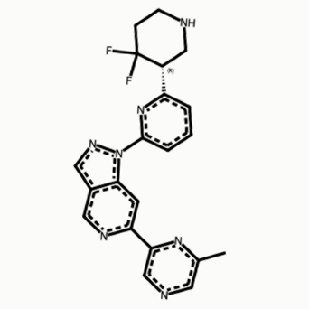 Cc1cncc(-c2cc3c(cn2)cnn3-c2cccc([C@H]3CNCCC3(F)F)n2)n1